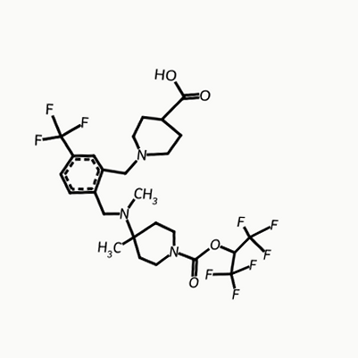 CN(Cc1ccc(C(F)(F)F)cc1CN1CCC(C(=O)O)CC1)C1(C)CCN(C(=O)OC(C(F)(F)F)C(F)(F)F)CC1